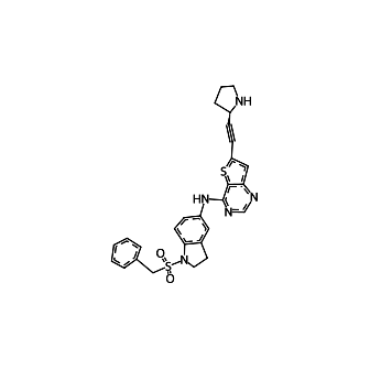 O=S(=O)(Cc1ccccc1)N1CCc2cc(Nc3ncnc4cc(C#C[C@H]5CCCN5)sc34)ccc21